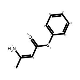 C/C(N)=C/C(=O)Sc1ccccc1